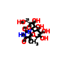 Cc1cn([C@@]2(C3OC[C@@H](O)[C@@H](O)[C@@H]3O)C[C@H](O)[C@@H](CO)O2)c(=O)[nH]c1=O